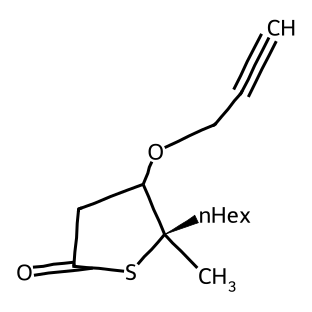 C#CCOC1CC(=O)S[C@]1(C)CCCCCC